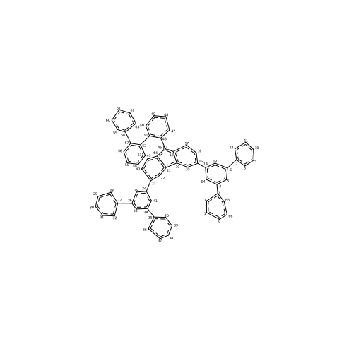 c1ccc(-c2cc(-c3ccccc3)cc(-c3ccc4c(c3)c3cc(-c5cc(-c6ccccc6)cc(-c6ccccc6)c5)ccc3n4-c3ccccc3-c3ccccc3-c3ccccc3)c2)cc1